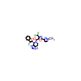 Cn1ccc(-c2nc(C(F)F)c(C(=O)N3CCc4[nH]cnc4[C@H]3c3oc4ccccc4c3F)o2)n1